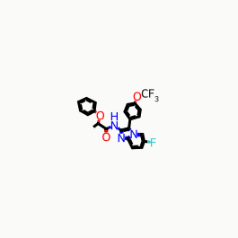 CC(Oc1ccccc1)C(=O)Nc1nc2ccc(F)cn2c1-c1ccc(OC(F)(F)F)cc1